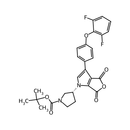 CC(C)(C)OC(=O)N1CC[C@@H](n2cc(-c3ccc(Oc4c(F)cccc4F)cc3)c3c2C(=O)OC3=O)C1